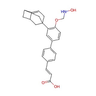 O=C(O)/C=C/c1ccc(-c2ccc(OCNO)c(C34CC=C5C(CC5C3)C4)c2)cc1